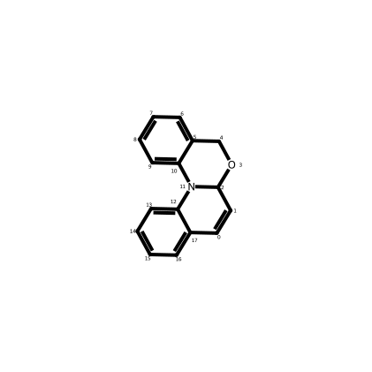 C1=CC2OCc3ccccc3N2c2ccccc21